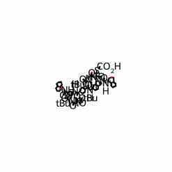 C[C@@H](C(=O)N[C@H](C(=O)N1C[C@@H](NC(=O)c2ccc(C(=O)Nc3ccc4c(c3)CN(C(=O)[C@@H](NC(=O)[C@H](C)N(C)C(=O)OC(C)(C)C)C(C)(C)SCC(=O)O)[C@H](C(=O)N[C@@H]3CCCc5ccccc53)C4)cc2)C[C@H]1C(=O)N[C@@H]1CCCc2ccccc21)C(C)(C)C)N(C)C(=O)OC(C)(C)C